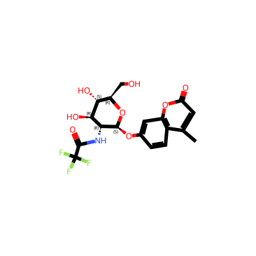 Cc1cc(=O)oc2cc(O[C@@H]3O[C@H](CO)[C@@H](O)[C@H](O)[C@H]3NC(=O)C(F)(F)F)ccc12